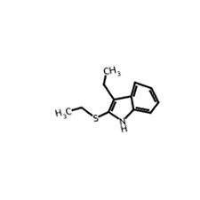 CCSc1[nH]c2ccccc2c1CC